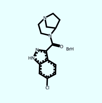 Br.O=C(c1n[nH]c2cc(Cl)ccc12)N1CCN2CCC1C2